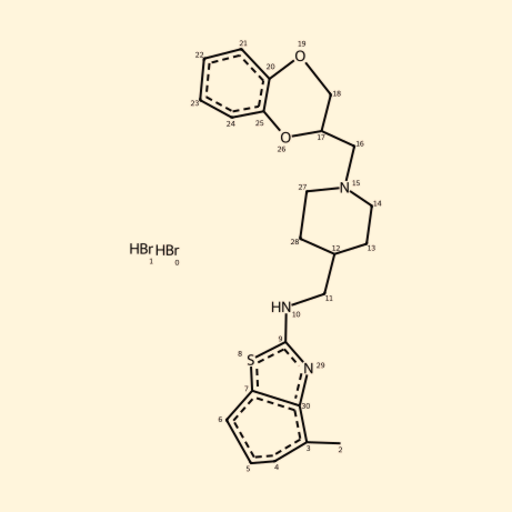 Br.Br.Cc1cccc2sc(NCC3CCN(CC4COc5ccccc5O4)CC3)nc12